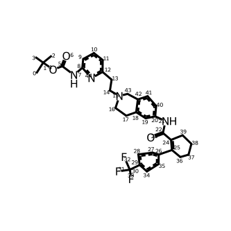 CC(C)(C)OC(=O)Nc1cccc(CCN2CCc3cc(NC(=O)C4=C(c5ccc(C(F)(F)F)cc5)CCCC4)ccc3C2)n1